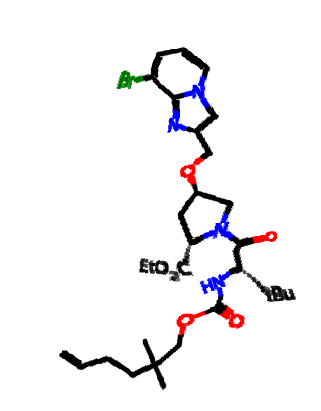 C=CCCC(C)(C)COC(=O)N[C@H](C(=O)N1C[C@H](OCC2CN3C=CC=C(Br)C3=N2)C[C@H]1C(=O)OCC)C(C)(C)C